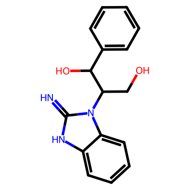 N=c1[nH]c2ccccc2n1C(CO)C(O)c1ccccc1